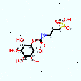 O=C(NCCCS(=O)(=O)O)O[C@H]1[C@H](O)[C@@H](O)[C@H](O)[C@@H](O)[C@@H]1O